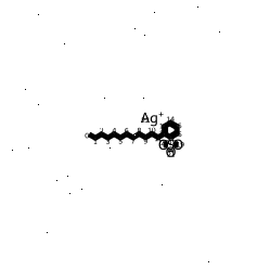 CCCCCCCCCCCCc1ccccc1S(=O)(=O)[O-].[Ag+]